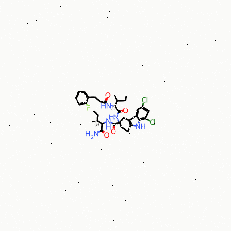 CCC(C)[C@H](NC(=O)CCc1ccccc1F)C(=O)N[C@]1(C(=O)NC(C(N)=O)[C@@H](C)CC)CCc2[nH]c3c(Cl)cc(Cl)cc3c2C1